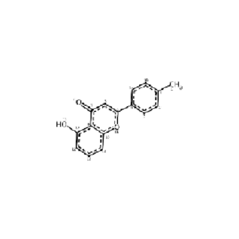 Cc1ccc(-c2cc(=O)c3c(O)cccc3o2)cc1